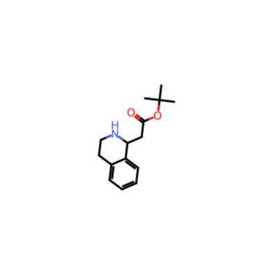 CC(C)(C)OC(=O)CC1NCCc2ccccc21